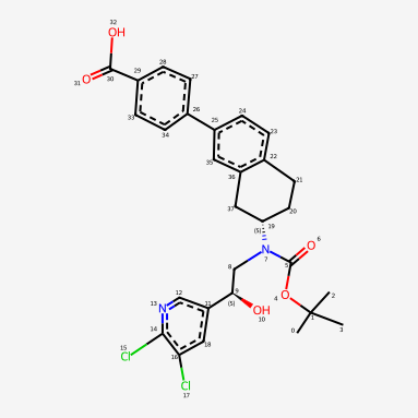 CC(C)(C)OC(=O)N(C[C@@H](O)c1cnc(Cl)c(Cl)c1)[C@H]1CCc2ccc(-c3ccc(C(=O)O)cc3)cc2C1